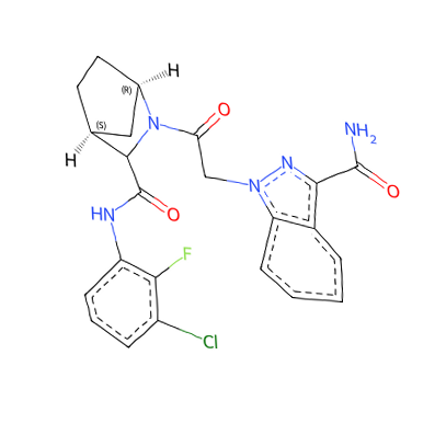 NC(=O)c1nn(CC(=O)N2C(C(=O)Nc3cccc(Cl)c3F)[C@H]3CC[C@@H]2C3)c2ccccc12